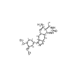 CCOc1ccc(-n2ncc3cc(C4NC(=O)NC(C)=C4C(N)=O)ccc32)cc1OCC